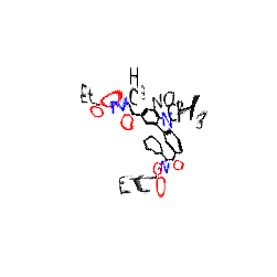 CCC(=O)O/N=C(\C)C(=O)c1cc([N+](=O)[O-])c2c(c1)c1cc(C(=O)/C(=N/OC(=O)CC)C3CCCCC3)ccc1n2C